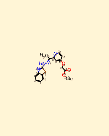 C/C(=N\Nc1nc2ccccc2s1)c1cc(OCC(=O)OC(C)(C)C)ccn1